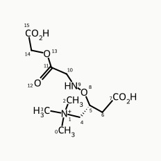 C[N+](C)(C)C[C@@H](CC(=O)O)ONCC(=O)OCC(=O)O